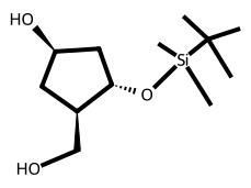 CC(C)(C)[Si](C)(C)O[C@H]1C[C@H](O)C[C@@H]1CO